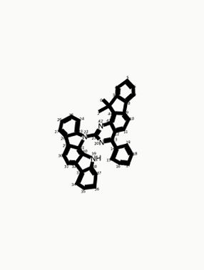 CC1(C)c2ccccc2-c2ccc3c(-c4ccccc4)nc(-n4c5ccccc5c5ccc6c7ccccc7[nH]c6c54)nc3c21